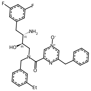 CCc1cccc(CN(C[C@@H](O)[C@@H](N)Cc2cc(F)cc(F)c2)C(=O)c2c[n+]([O-])cc(Cc3ccccc3)n2)c1